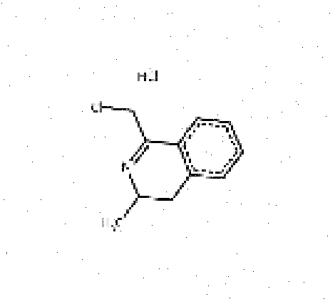 CC1Cc2ccccc2C(CCl)=N1.Cl